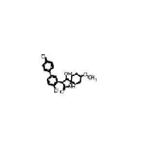 COC1CCC2(CC1)NC(=O)C(c1cc(-c3ccc(Cl)cc3)ccc1Cl)C2O